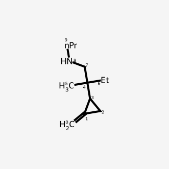 C=C1CC1C(C)(CC)CNCCC